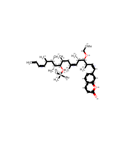 C=C/C=C\C(C)[C@H](C)[C@@H](C)[C@H](O[Si](C)(C)C(C)(C)C)[C@@H](C)C/C(C)=C\[C@H](C)[C@@H](OCOC)C(C)/C=C\c1ccc2ccc(=O)oc2c1